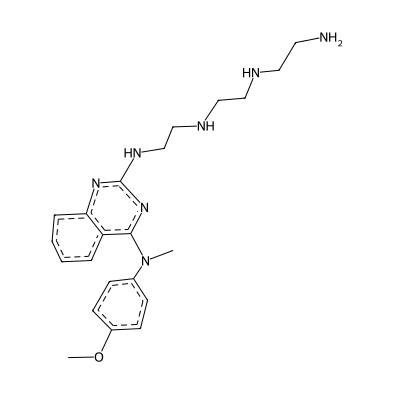 COc1ccc(N(C)c2nc(NCCNCCNCCN)nc3ccccc23)cc1